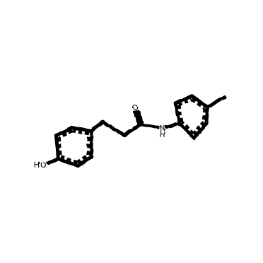 Cc1ccc(NC(=O)CCc2ccc(O)cc2)cc1